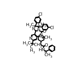 CCOc1cc(C(C)(C)C)ncc1C1=N[C@@](C)(c2ccc(Cl)cc2)[C@@](C)(c2ccc(Cl)cc2)N1C(=O)N1CCC(CC(=O)N[C@H](C)c2ccccc2)CC1